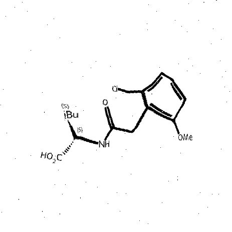 CC[C@H](C)[C@H](NC(=O)Cc1c(Cl)cccc1OC)C(=O)O